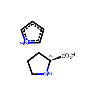 O=C(O)[C@@H]1CCCN1.c1cc[nH]c1